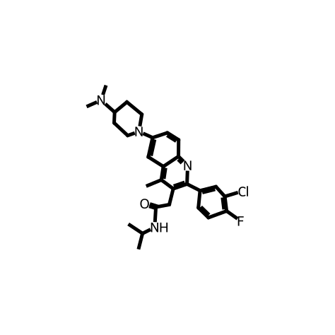 Cc1c(CC(=O)NC(C)C)c(-c2ccc(F)c(Cl)c2)nc2ccc(N3CCC(N(C)C)CC3)cc12